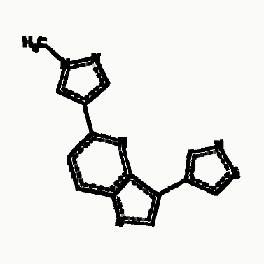 Cn1cc(-c2ccc3scc(-c4cnsc4)c3n2)cn1